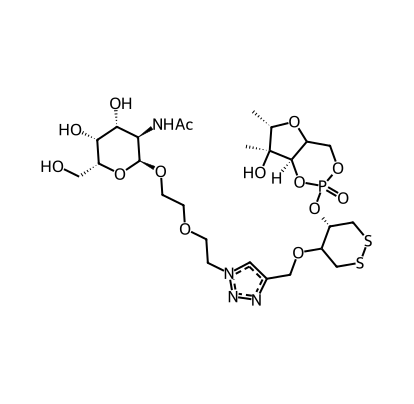 CC(=O)N[C@H]1[C@@H](OCCOCCn2cc(COC3CSSC[C@H]3OP3(=O)OCC4O[C@@H](C)[C@](C)(O)[C@@H]4O3)nn2)O[C@H](CO)[C@H](O)[C@@H]1O